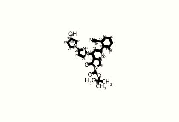 CC(C)(C)OC(=O)N1Cc2nc(-c3c(F)cccc3C#N)cc(-n3ccc(N4CC[C@H](O)C4)n3)c2C1=O